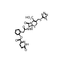 Cn1nnnc1SCC1=C(C(=O)O)N2C(=O)[C@@H](NC(=O)Cc3ccccc3OC(=O)c3ccc(=O)[nH]n3)[C@H]2SC1